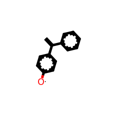 C=C(c1ccccc1)c1ccc([O])cc1